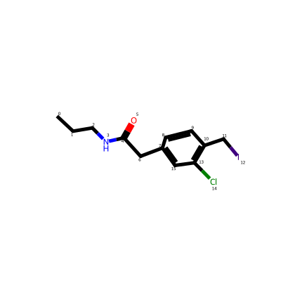 CCCNC(=O)Cc1ccc(CI)c(Cl)c1